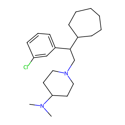 CN(C)C1CCN(CC(c2cccc(Cl)c2)C2CCCCCC2)CC1